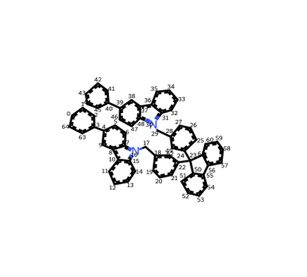 c1ccc(-c2ccc3c(c2)c2ccccc2n3Cc2cccc(C3(c4cccc(Cn5c6ccccc6c6cc(-c7ccccc7)ccc65)c4)c4ccccc4-c4ccccc43)c2)cc1